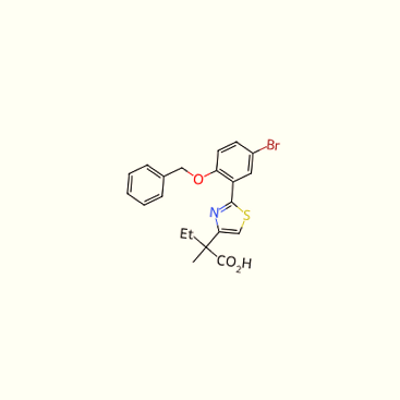 CCC(C)(C(=O)O)c1csc(-c2cc(Br)ccc2OCc2ccccc2)n1